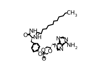 CCCCCCCCCCCCN[C@@H](Cc1ccc(OP2(=O)CO[C@@H](Cn3cnc4c(N)ncnc43)CO2)cc1)C(N)=O